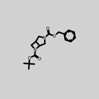 CC(C)(C)OC(=O)N1CC2CN(C(=O)OCc3ccccc3)CC21